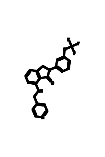 O=C1c2c(cccc2NCc2ccncc2)CN1c1cccc(OC(F)(F)F)c1